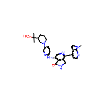 Cn1ccc2c(-c3ncc(Nc4ccc(N5CCCC(C(C)(C)O)C5)cn4)c4c3CNC4=O)ccnc21